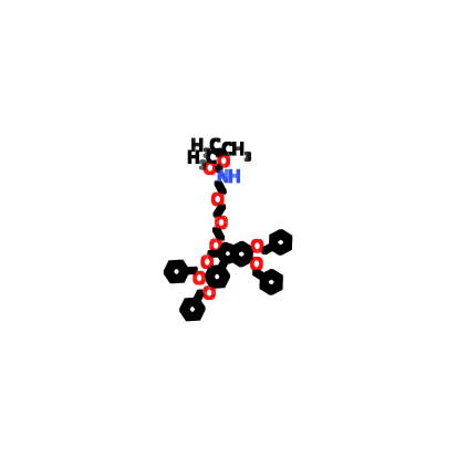 CC(C)(C)OC(=O)NCCOCCOCCOC12COc3c(ccc(OCc4ccccc4)c3OCc3ccccc3)C1c1cc(OCc3ccccc3)c(OCc3ccccc3)cc1C2